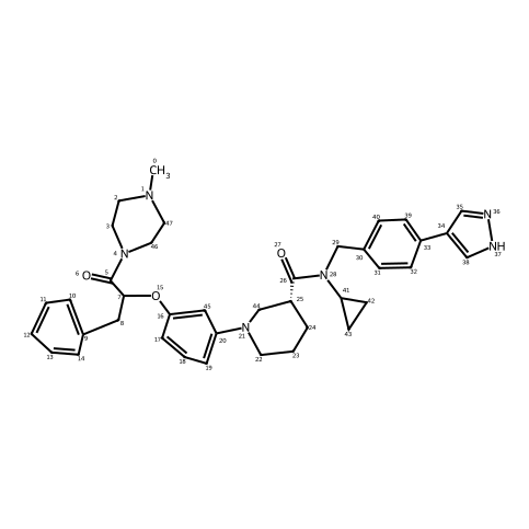 CN1CCN(C(=O)C(Cc2ccccc2)Oc2cccc(N3CCC[C@@H](C(=O)N(Cc4ccc(-c5cn[nH]c5)cc4)C4CC4)C3)c2)CC1